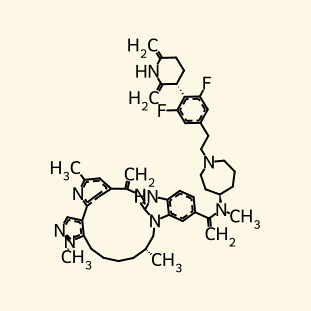 C=C1CC[C@H](c2c(F)cc(CCN3CCC[C@@H](N(C)C(=C)c4ccc5c(c4)N4C[C@H](C)CCCCc6c(cnn6C)-c6cc(cc(C)n6)C(=C)/N=C/4N5)CC3)cc2F)C(=C)N1